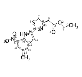 CCOC(=O)C[C@@H]1CSC(c2cc3cc(C)cc([N+](=O)[O-])c3[nH]2)=N1